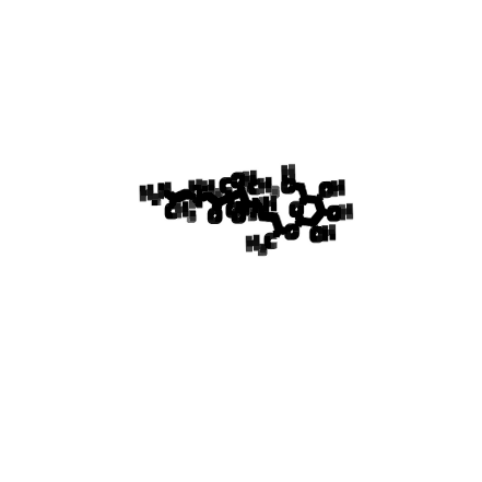 C/C(N)=C\NCC(=O)C(C)(C)[C@@](C)(O)C(=O)N/C=C/[C@H](C)O[C@H]1O[C@@H](CO)[C@H](O)[C@@H](O)[C@@H]1O